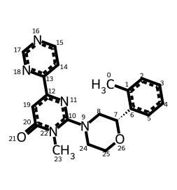 Cc1ccccc1[C@H]1CN(c2nc(-c3ccncn3)cc(=O)n2C)CCO1